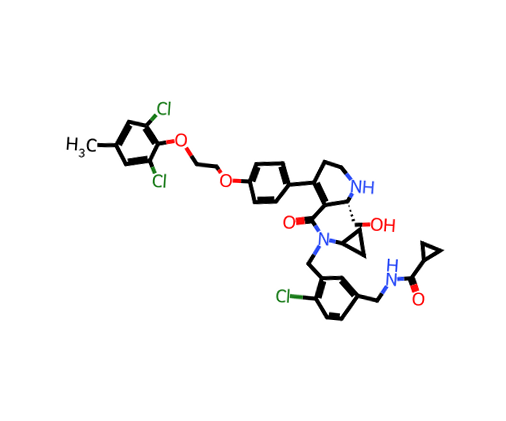 Cc1cc(Cl)c(OCCOc2ccc(C3=C(C(=O)N(Cc4cc(CNC(=O)C5CC5)ccc4Cl)C4CC4)[C@@H](CO)NCC3)cc2)c(Cl)c1